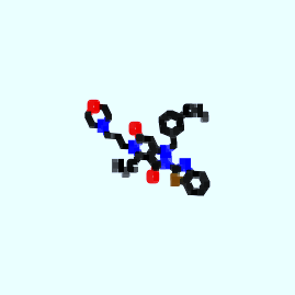 Cc1cccc(Cn2c3cc(=O)n(CCCN4CCOCC4)c(C)c3c(=O)n2-c2nc3ccccc3s2)c1